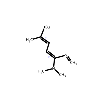 C=N/C(=C\C=C(/C)C(C)(C)C)N(C)C